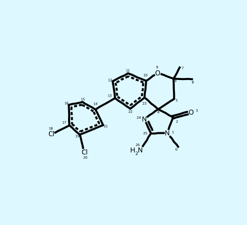 CN1C(=O)C2(CC(C)(C)Oc3ccc(-c4ccc(Cl)c(Cl)c4)cc32)N=C1N